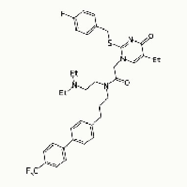 CCc1cn(CC(=O)N(CCCc2ccc(-c3ccc(C(F)(F)F)cc3)cc2)CCN(CC)CC)c(SCc2ccc(F)cc2)nc1=O